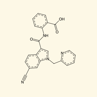 N#Cc1ccc2c(C(=O)Nc3ccccc3C(=O)O)cn(Cc3ccccn3)c2c1